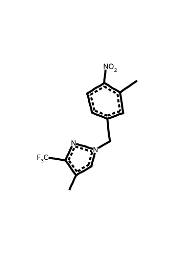 Cc1cc(Cn2cc(C)c(C(F)(F)F)n2)ccc1[N+](=O)[O-]